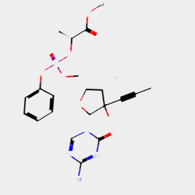 CC#CC1(O)[C@@H](O)[C@@H](COP(=O)(Oc2ccccc2)O[C@@H](C)C(=O)OC(C)C)O[C@H]1n1cnc(N)nc1=O